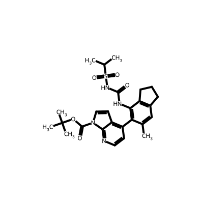 Cc1cc2c(c(NC(=O)NS(=O)(=O)C(C)C)c1-c1ccnc3c1ccn3C(=O)OC(C)(C)C)CCC2